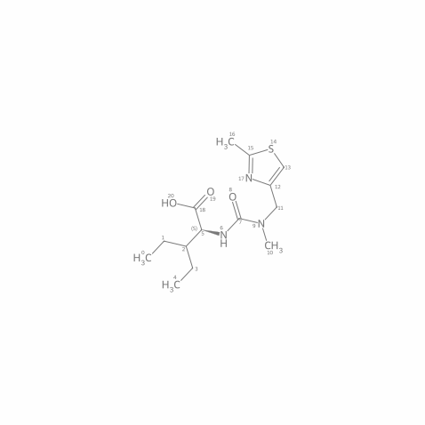 CCC(CC)[C@H](NC(=O)N(C)Cc1csc(C)n1)C(=O)O